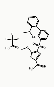 CSc1sc(C(=N)N)cc1S(=O)(=O)c1cccc(-c2ccccc2C(C)O)c1.O=C(O)C(F)(F)F